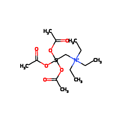 CC[N+](CC)(CC)C[Si](OC(C)=O)(OC(C)=O)OC(C)=O